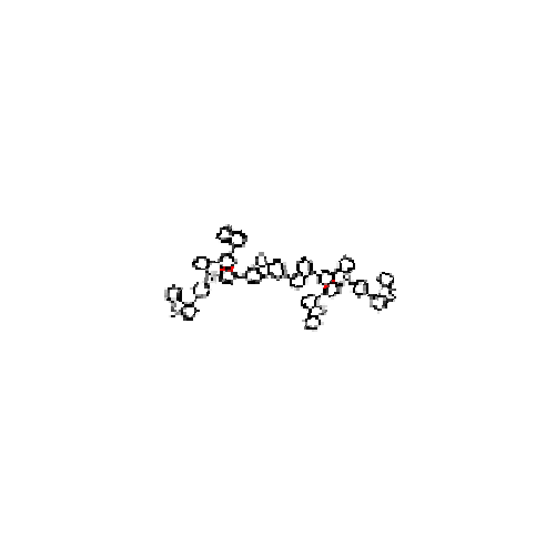 c1cc(-c2ccccc2N(c2ccc(-c3ccc4c(c3)oc3ccc(-c5cccc6c(-c7cccc(-c8ccccc8N(c8ccc(-c9cccc%10c9sc9ccccc9%10)cc8)c8ccc(-c9cccc%10sc%11ccccc%11c9%10)cc8)c7)cccc56)cc34)cc2)c2ccc(-c3cccc4sc5ccccc5c34)cc2)cc(-c2cccc3ccccc23)c1